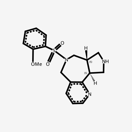 COc1ccccc1S(=O)(=O)N1Cc2cccnc2[C@@H]2CNC[C@H]2C1